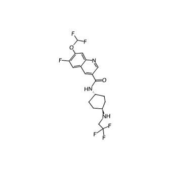 O=C(N[C@H]1CC[C@H](NCC(F)(F)F)CC1)c1cnc2cc(OC(F)F)c(F)cc2c1